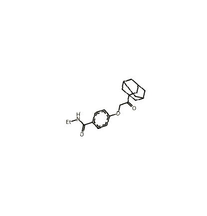 CCNC(=O)c1ccc(OCC(=O)C23CC4CC(CC(C4)C2)C3)cc1